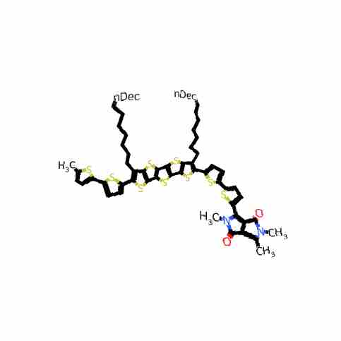 CCCCCCCCCCCCCCCCCc1c(-c2ccc(-c3ccc(C)s3)s2)sc2c1sc1c2sc2c3sc(-c4ccc(-c5ccc(C6=C7C(=O)N(C)C(C)=C7C(=O)N6C)s5)s4)c(CCCCCCCCCCCCCCCCC)c3sc21